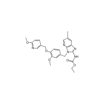 CCOC(=O)Nc1nc2cc(I)cnc2n1Cc1ccc(OCc2ccc(OC)nc2)c(OC)c1